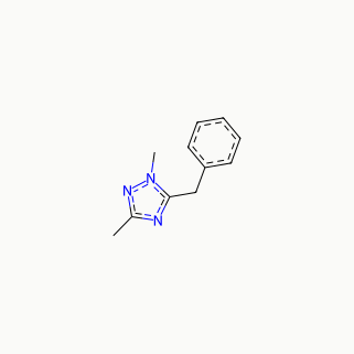 Cc1nc(Cc2ccccc2)n(C)n1